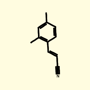 Cc1ccc(/C=C/C#N)c(C)c1